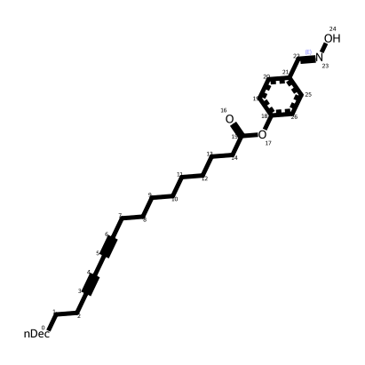 CCCCCCCCCCCCC#CC#CCCCCCCCCC(=O)Oc1ccc(/C=N/O)cc1